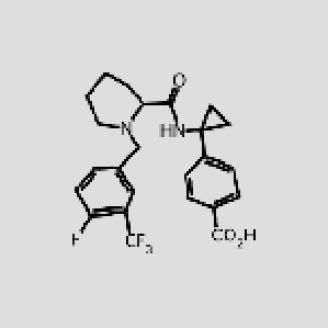 O=C(O)c1ccc(C2(NC(=O)C3CCCCN3Cc3ccc(F)c(C(F)(F)F)c3)CC2)cc1